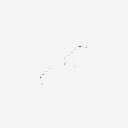 CCCCC/C=C\C/C=C\CCCCCCCCC(CCCCCCCC/C=C\C/C=C\CCCCC)OP(OCCN(C)C)OOC